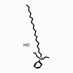 CCCCCCCCCCCCCCCCCC[N+](CCC)(CCC)c1ccccc1.[OH-]